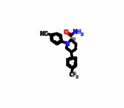 N#Cc1ccc(N2CC(c3ccc(C(F)(F)F)cc3)CC[C@H]2C(N)=O)cc1